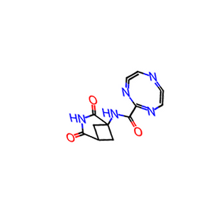 O=C(NC12CC(C1)C(=O)NC2=O)/C1=N/C=C=NC=C=N1